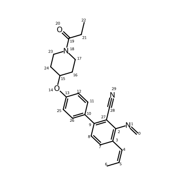 C=Nc1c(/C=C\C)ccc(-c2ccc(OC3CCN(C(=O)CC)CC3)cc2)c1C#N